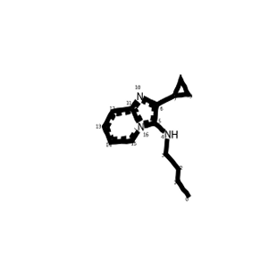 CCCCNc1c(C2CC2)nc2ccccn12